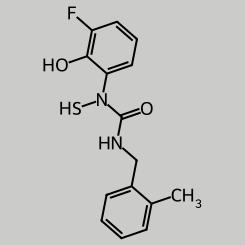 Cc1ccccc1CNC(=O)N(S)c1cccc(F)c1O